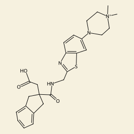 C[N+]1(C)CCN(c2ccc3nc(CNC(=O)C4(CC(=O)O)Cc5ccccc5C4)sc3c2)CC1